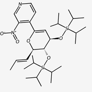 C/C=C/[C@H]1OC(c2ccncc2[N+](=O)[O-])=C[C@@H](O[Si](C(C)C)(C(C)C)C(C)C)[C@@H]1O[Si](C(C)C)(C(C)C)C(C)C